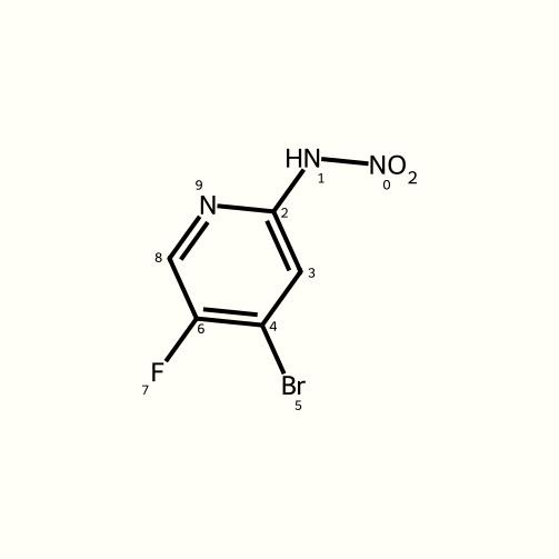 O=[N+]([O-])Nc1cc(Br)c(F)cn1